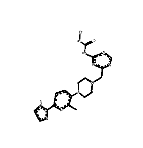 CCNC(=O)Nc1ncnc(CN2CCN(c3ccc(-c4ncc[nH]4)nc3C)CC2)n1